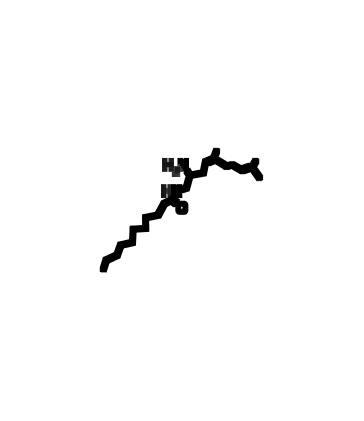 CCCCCCCCCCC(=O)NCC(N)CC=C(C)CCC=C(C)C